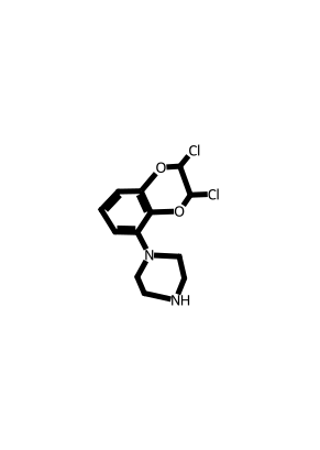 ClC1Oc2cccc(N3CCNCC3)c2OC1Cl